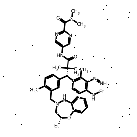 CCNc1ccc([C@H](c2ccc(C)c(CN3C[C@@H](CC)Oc4ccccc4N3)c2)C(C)(C)C(=O)Nc2cnc(C(=O)N(C)C)nc2)c(C)c1N=N